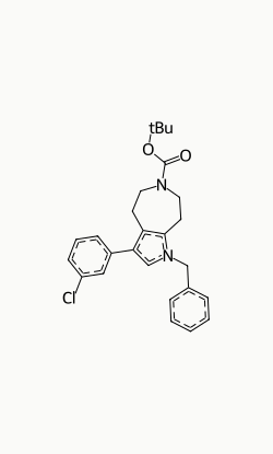 CC(C)(C)OC(=O)N1CCc2c(-c3cccc(Cl)c3)cn(Cc3ccccc3)c2CC1